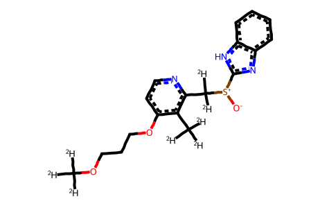 [2H]C([2H])([2H])OCCCOc1ccnc(C([2H])([2H])[S+]([O-])c2nc3ccccc3[nH]2)c1C([2H])([2H])[2H]